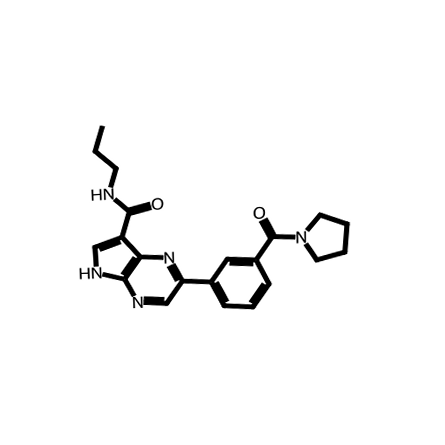 CCCNC(=O)c1c[nH]c2ncc(-c3cccc(C(=O)N4CCCC4)c3)nc12